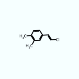 Cc1ccc(C=CCl)cc1C